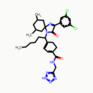 CCCCCC(C1=CC=C(C(=O)NCc2nn[nH]n2)CC1)N1C(=O)C(c2cc(Cl)cc(Cl)c2)=NC12CC(C)CC(C)C2